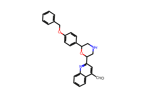 O=Cc1cc(C2CNCC(c3ccc(OCc4ccccc4)cc3)O2)nc2ccccc12